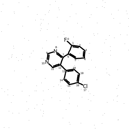 Fc1ccccc1-c1n[c]ncc1-c1ccc(Cl)cc1